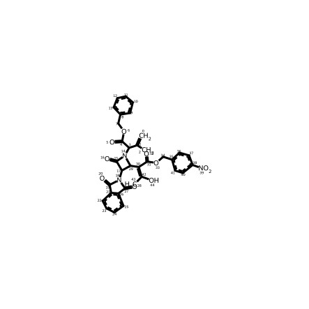 C=C(C)C(C(=O)OCc1ccccc1)N1C(=O)C(N2C(=O)c3ccccc3C2=O)C1/C(C(=O)OCc1ccc([N+](=O)[O-])cc1)=C(\C)O